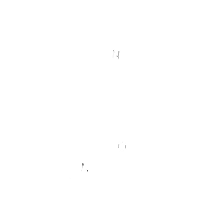 O=C(C=Cc1ccncc1)c1ccccn1